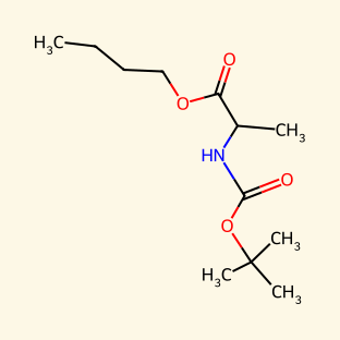 CCCCOC(=O)C(C)NC(=O)OC(C)(C)C